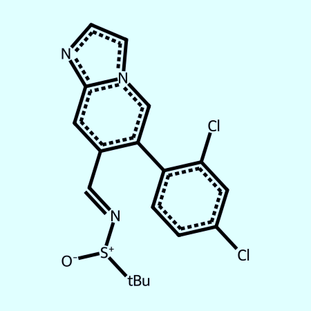 CC(C)(C)[S+]([O-])/N=C/c1cc2nccn2cc1-c1ccc(Cl)cc1Cl